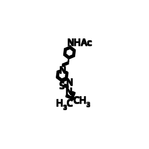 CC(=O)N[C@H]1CC[C@H](CCN2CCc3sc(N4CC(C)(C)C4)nc3C2)CC1